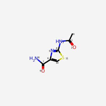 CC(=O)Nc1nc(C(N)=O)cs1